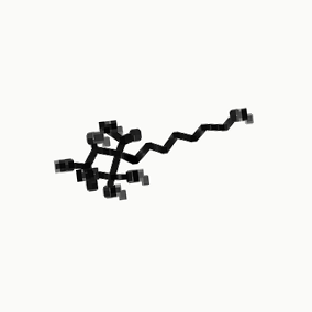 CCCCCCCC[C@](C(N)=O)(C(C)C(=O)O)C(C)(C)C